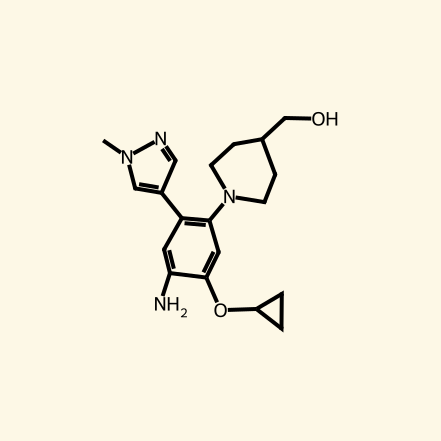 Cn1cc(-c2cc(N)c(OC3CC3)cc2N2CCC(CO)CC2)cn1